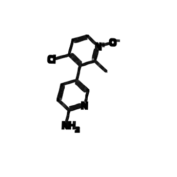 Cc1c(-c2ccc(N)nc2)c(Cl)cc[n+]1[O-]